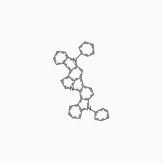 c1ccc(-n2c3ccccc3c3c4ccn5c4c(cc32)c2ccc3c(c4ccccc4n3-c3ccccc3)c25)cc1